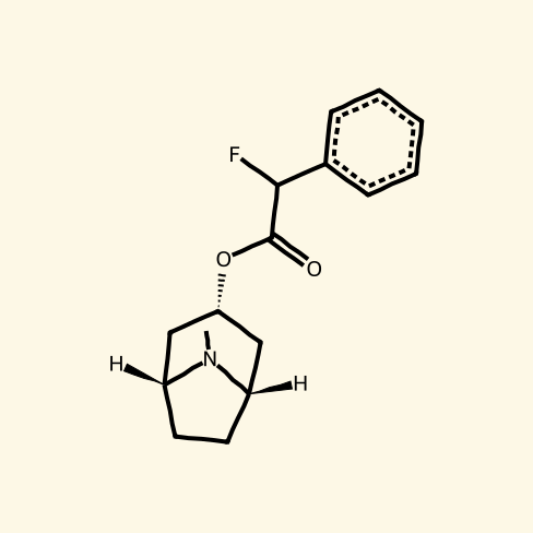 CN1[C@@H]2CC[C@H]1C[C@@H](OC(=O)C(F)c1ccccc1)C2